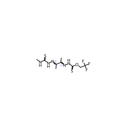 CNC(=S)N/N=C(C)/C(C)=N/NC(=S)OCC(F)(F)F